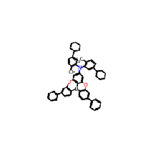 Cc1ccc(C2CCCCC2)cc1N(c1cc2c3c(c1)Oc1cc(-c4ccccc4)ccc1B3c1ccc(-c3ccccc3)cc1O2)c1cc(C2CCCCC2)ccc1C